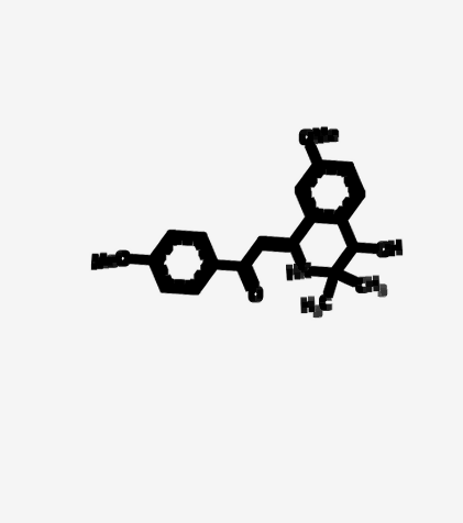 COc1ccc(C(=O)C=C2NC(C)(C)C(O)c3ccc(OC)cc32)cc1